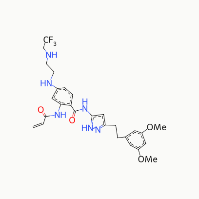 C=CC(=O)Nc1cc(NCCNCC(F)(F)F)ccc1C(=O)Nc1cc(CCc2cc(OC)cc(OC)c2)n[nH]1